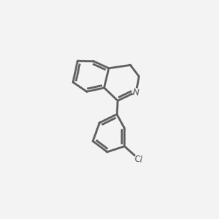 Clc1cccc(C2=NCCc3ccccc32)c1